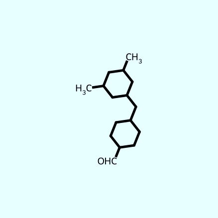 CC1CC(C)CC(CC2CCC(C=O)CC2)C1